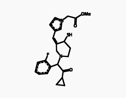 COC(=O)Cn1ccc(/C=C2/CN(C(C(=O)C3CC3)c3ccccc3F)CCC2S)c1